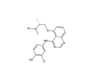 CC(=O)N(C)[C@H](C)COc1cccc2ncnc(Nc3ccc(O)c(Cl)c3)c12